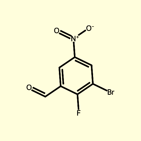 O=Cc1cc([N+](=O)[O-])cc(Br)c1F